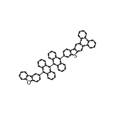 c1ccc2c(c1)oc1ccc(-c3c4ccccc4c(-c4c5ccccc5c(-c5ccc6c(c5)sc5cc7c8ccccc8c8ccccc8c7cc56)c5ccccc45)c4ccccc34)cc12